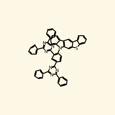 c1ccc(-c2nc(-c3ccccc3)nc(-c3ccc(-n4c5ccccc5c5cc6c(cc54)sc4ccccc46)c(-c4nc(-c5ccccc5)nc(-c5ccccc5)n4)c3)n2)cc1